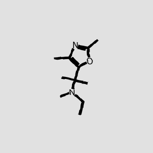 CCN(C)C(C)(C)c1oc(C)nc1C